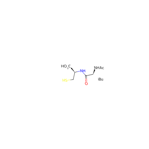 CC[C@H](C)[C@H](NC(C)=O)C(=O)N[C@@H](CS)C(=O)O